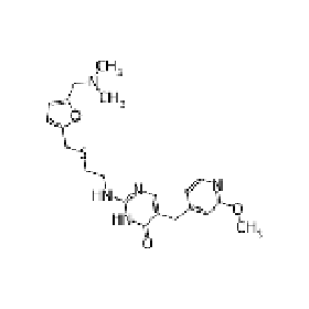 COc1cc(Cc2cnc(NCCSCc3ccc(CN(C)C)o3)[nH]c2=O)ccn1